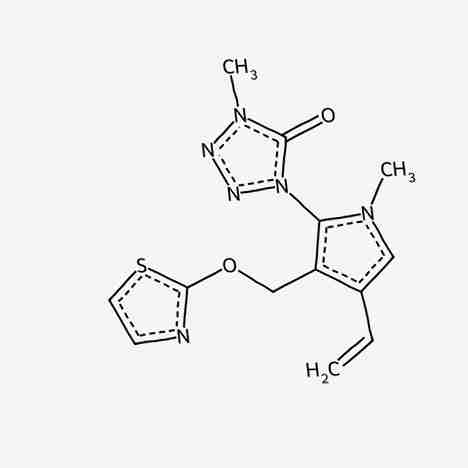 C=Cc1cn(C)c(-n2nnn(C)c2=O)c1COc1nccs1